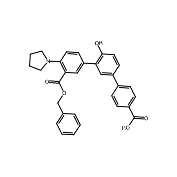 O=C(O)c1ccc(-c2ccc(O)c(-c3ccc(N4CCCC4)c(C(=O)OCc4ccccc4)c3)c2)cc1